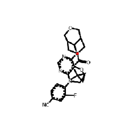 CC1(OC(=O)N2CC3COCC(C2)C3Oc2ncnc3c2OCCN3c2ccc(C#N)cc2F)CC1